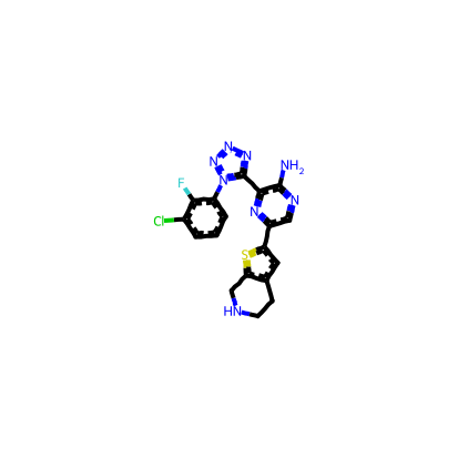 Nc1ncc(-c2cc3c(s2)CNCC3)nc1-c1nnnn1-c1cccc(Cl)c1F